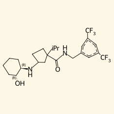 CC(C)C1(C(=O)NCc2cc(C(F)(F)F)cc(C(F)(F)F)c2)CCC(N[C@@H]2CCCC[C@H]2O)C1